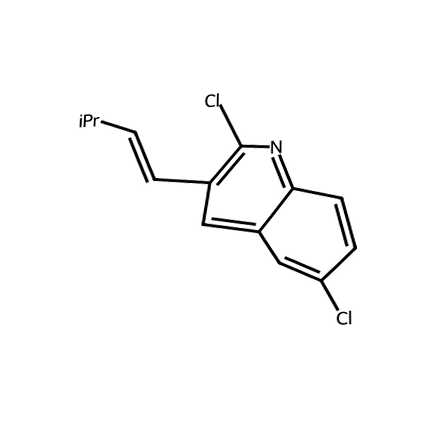 CC(C)C=Cc1cc2cc(Cl)ccc2nc1Cl